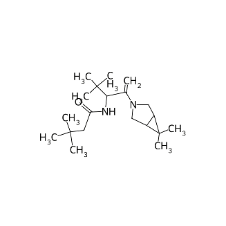 C=C(C(NC(=O)CC(C)(C)C)C(C)(C)C)N1CC2C(C1)C2(C)C